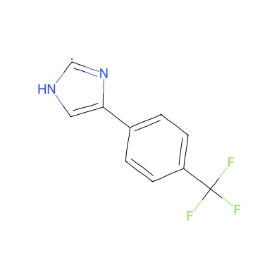 FC(F)(F)c1ccc(-c2c[nH][c]n2)cc1